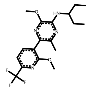 CCC(CC)Nc1nc(C)c(-c2ccc(C(F)(F)F)nc2OC)nc1OC